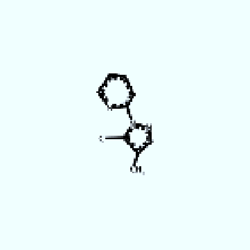 Cc1cnn(-c2ccccn2)c1Cl